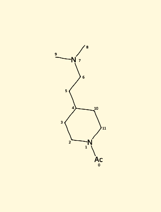 CC(=O)N1CCC(CCN(C)C)CC1